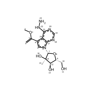 C=C(OC)c1cn([C@@H]2O[C@H](CO)[C@@H](O)[C@@]2(C)O)c2ncnc(NN)c12